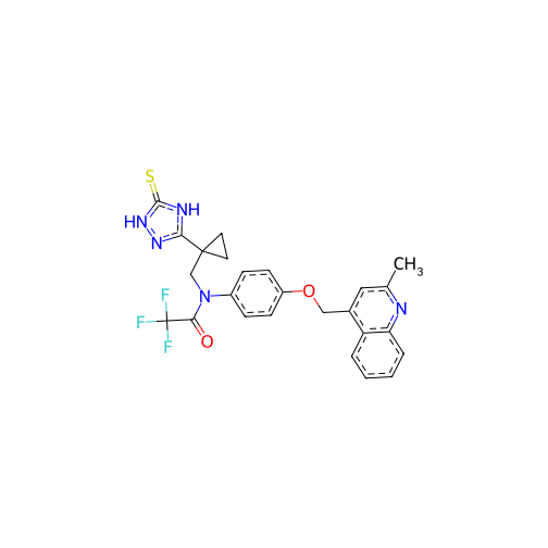 Cc1cc(COc2ccc(N(CC3(c4n[nH]c(=S)[nH]4)CC3)C(=O)C(F)(F)F)cc2)c2ccccc2n1